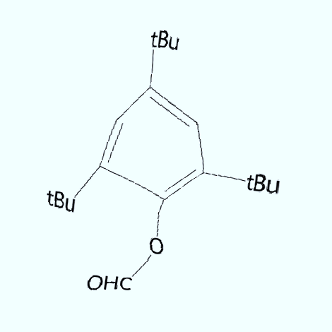 CC(C)(C)c1cc(C(C)(C)C)c(OC=O)c(C(C)(C)C)c1